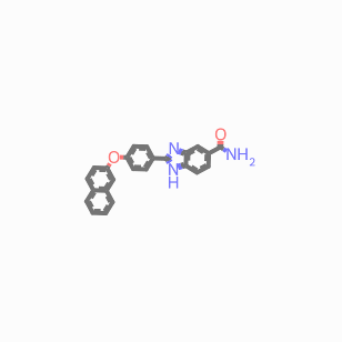 NC(=O)c1ccc2[nH]c(-c3ccc(Oc4ccc5ccccc5c4)cc3)nc2c1